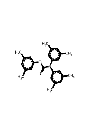 Cc1cc(C)cc(OC(=O)N(c2cc(C)cc(C)c2)c2cc(C)cc(C)c2)c1